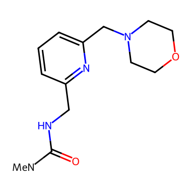 CNC(=O)NCc1cccc(CN2CCOCC2)n1